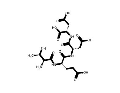 C[C@@H](O)[C@H](N)C(=O)N[C@@H](CCC(=O)O)C(=O)N[C@@H](CC(=O)O)C(=O)N[C@@H](CC(=O)O)C(=O)O